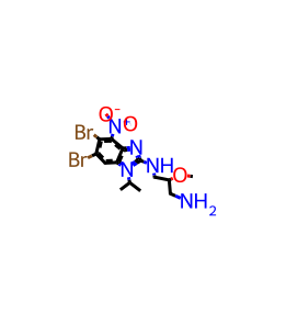 COC(CN)CNc1nc2c([N+](=O)[O-])c(Br)c(Br)cc2n1C(C)C